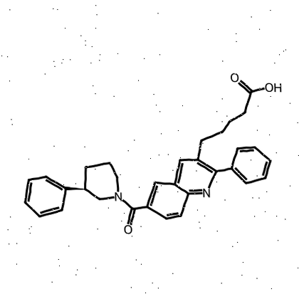 O=C(O)CCCCc1cc2cc(C(=O)N3CCC[C@H](c4ccccc4)C3)ccc2nc1-c1ccccc1